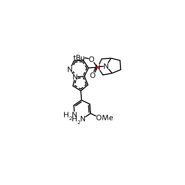 CO/C(N)=C/C(=C\N)c1cc2c(N3CC4CCC(C3)N4C(=O)OC(C)(C)C)ccnn2c1